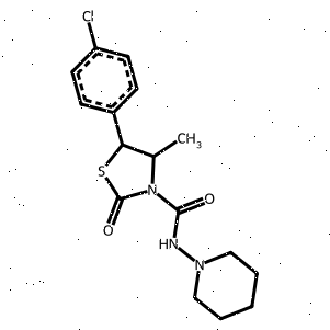 CC1C(c2ccc(Cl)cc2)SC(=O)N1C(=O)NN1CCCCC1